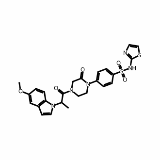 COc1ccc2c(ccn2C(C)C(=O)N2CCN(c3ccc(S(=O)(=O)Nc4nccs4)cc3)C(=O)C2)c1